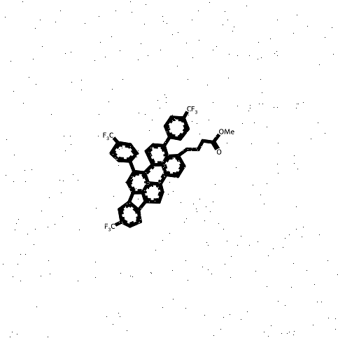 COC(=O)CCCc1ccc2c3ccc4c5c(cc(-c6ccc(C(F)(F)F)cc6)c(c6ccc(-c7ccc(C(F)(F)F)cc7)c1c26)c53)-c1cc(C(F)(F)F)ccc1-4